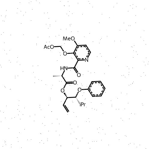 C=C[C@@H](OC(=O)[C@H](C)NC(=O)c1nccc(OC)c1OCOC(C)=O)[C@H](Oc1ccccc1)C(C)C